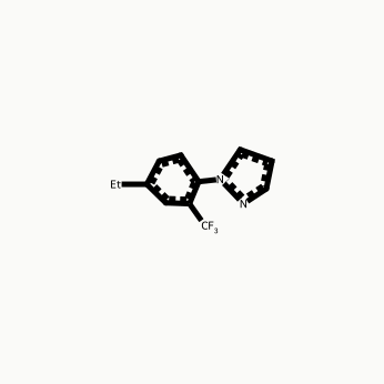 CCc1ccc(-n2cccn2)c(C(F)(F)F)c1